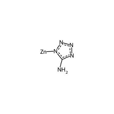 Nc1nnn[n]1[Zn]